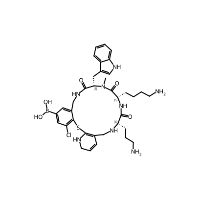 CN1C(=O)[C@H](CCCCN)NC(=O)[C@H](CCCN)NCC2=C(NCC=C2)Sc2c(Cl)cc(B(O)O)cc2CNC(=O)[C@@H]1Cc1c[nH]c2ccccc12